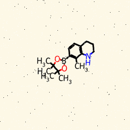 Cc1c(B2OC(C)(C)C(C)(C)O2)ccc2c1NCCC2